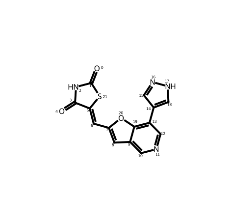 O=C1NC(=O)C(=Cc2cc3cncc(-c4cn[nH]c4)c3o2)S1